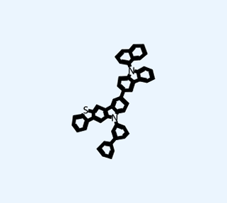 c1ccc(-c2cccc(-n3c4ccc(-c5ccc6c(c5)c5ccccc5n6-c5cccc6ccccc56)cc4c4cc5sc6ccccc6c5cc43)c2)cc1